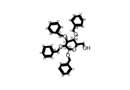 OCC1O[C@H](OCc2ccccc2)C(OCc2ccccc2)C(OCc2ccccc2)[C@@H]1OCc1ccccc1